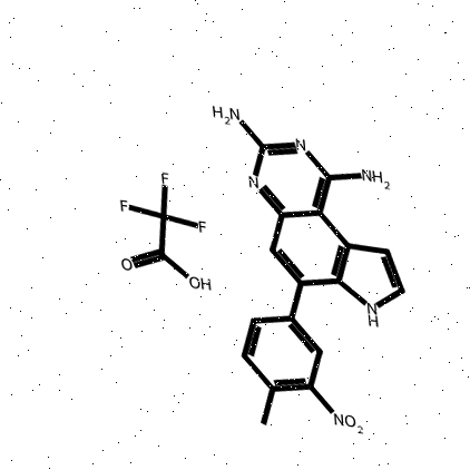 Cc1ccc(-c2cc3nc(N)nc(N)c3c3cc[nH]c23)cc1[N+](=O)[O-].O=C(O)C(F)(F)F